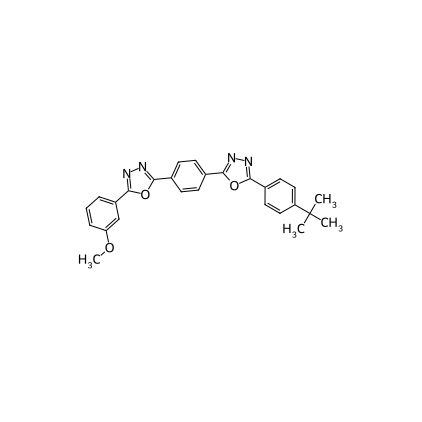 COc1cccc(-c2nnc(-c3ccc(-c4nnc(-c5ccc(C(C)(C)C)cc5)o4)cc3)o2)c1